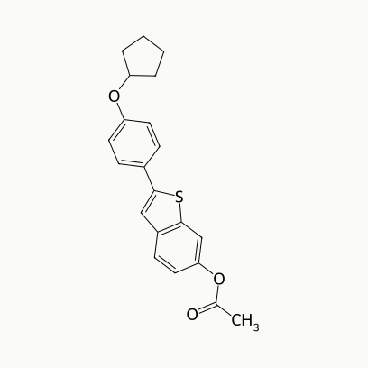 CC(=O)Oc1ccc2cc(-c3ccc(OC4CCCC4)cc3)sc2c1